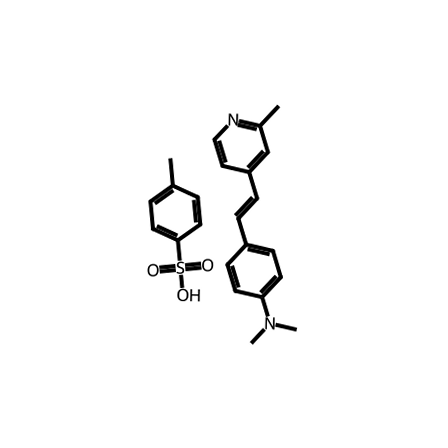 Cc1cc(C=Cc2ccc(N(C)C)cc2)ccn1.Cc1ccc(S(=O)(=O)O)cc1